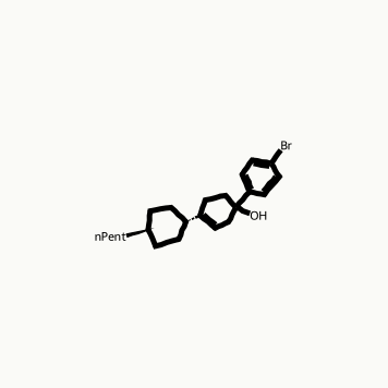 CCCCC[C@H]1CC[C@H](C2=CCC(O)(c3ccc(Br)cc3)CC2)CC1